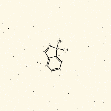 OS1(O)N=Cc2ccccc21